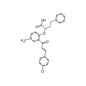 Cc1ccc(OC(CCc2ccccc2)C(=O)O)c(C(=O)C=Cc2ccc(Cl)cc2)c1